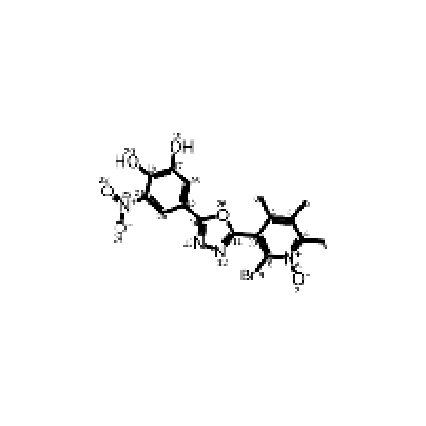 Cc1c(C)c(C)[n+]([O-])c(Br)c1-c1nnc(-c2cc(O)c(O)c([N+](=O)[O-])c2)o1